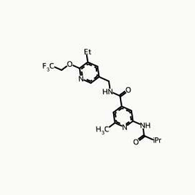 CCc1cc(CNC(=O)c2cc(C)nc(NC(=O)C(C)C)c2)cnc1OCC(F)(F)F